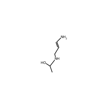 CC(O)NCC=CN